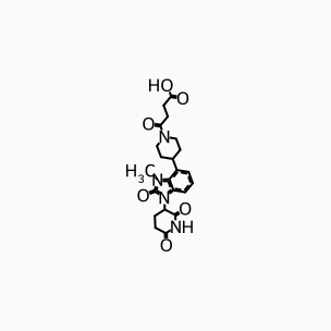 Cn1c(=O)n(C2CCC(=O)NC2=O)c2cccc(C3CCN(C(=O)CCC(=O)O)CC3)c21